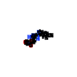 CC1=C(c2ccnc(NCc3cc(-c4ccc(C(=O)N5CCOCC5)o4)[nH]n3)c2)C=CC(C#N)C1C